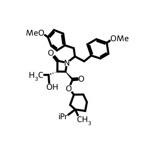 COc1ccc(CC(Cc2ccc(OC)cc2)N2C(=O)[C@@H](C(C)O)[C@@H]2C(=O)OC2CCCC(C)(C(C)C)C2)cc1